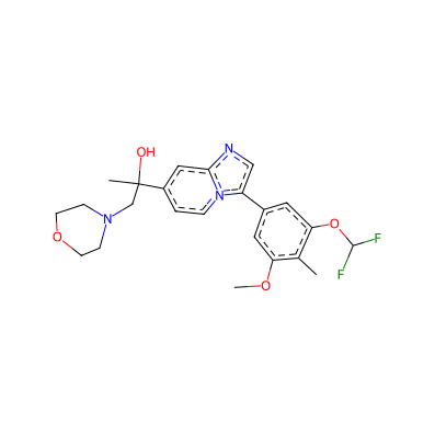 COc1cc(-c2cnc3cc(C(C)(O)CN4CCOCC4)ccn23)cc(OC(F)F)c1C